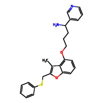 Cc1c(CSc2ccccc2)oc2cccc(OCCCC(N)c3cccnc3)c12